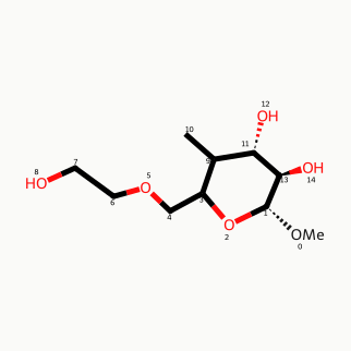 CO[C@@H]1OC(COCCO)C(C)[C@H](O)[C@H]1O